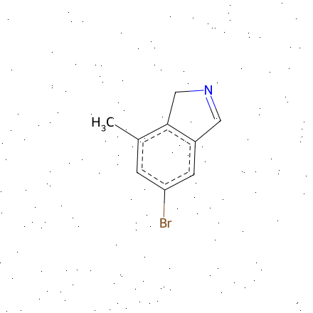 Cc1cc(Br)cc2c1CN=C2